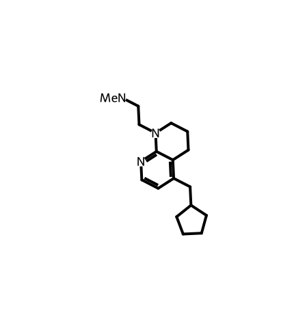 CNCCN1CCCc2c(CC3CCCC3)ccnc21